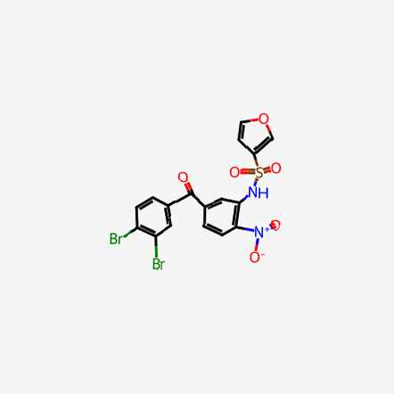 O=C(c1ccc(Br)c(Br)c1)c1ccc([N+](=O)[O-])c(NS(=O)(=O)c2ccoc2)c1